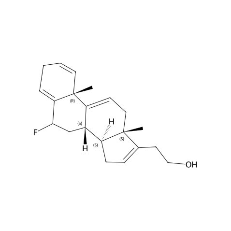 C[C@]12C=CCC=C1C(F)C[C@@H]1C2=CC[C@]2(C)C(CCO)=CC[C@@H]12